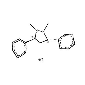 CN1[C@H](c2ccccc2)C[C@@H](c2ccccc2)N1C.Cl